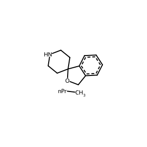 CCCC.c1ccc2c(c1)COC21CCNCC1